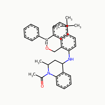 CC(=O)N1c2ccccc2C(Nc2ccc(C(C)(C)C)cc2CO[SiH](c2ccccc2)c2ccccc2)CC1C